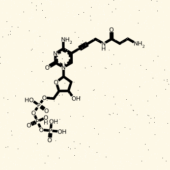 NCCC(=O)NCC#Cc1cn(C2CC(O)C(COP(=O)(O)OP(=O)(O)OP(=O)(O)O)O2)c(=O)nc1N